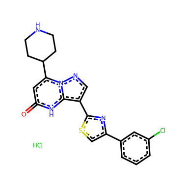 Cl.O=c1cc(C2CCNCC2)n2ncc(-c3nc(-c4cccc(Cl)c4)cs3)c2[nH]1